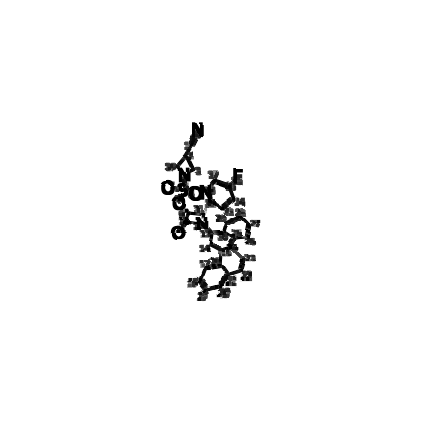 N#CC1CN(S(=O)(=O)O[C@@H]2C(=O)N(c3cc4c5ccccc5ccc4c4ccccc34)[C@H]2c2ccc(F)cn2)C1